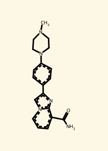 CN1CCN(c2ccc(-c3cn4cccc(C(N)=O)c4n3)cc2)CC1